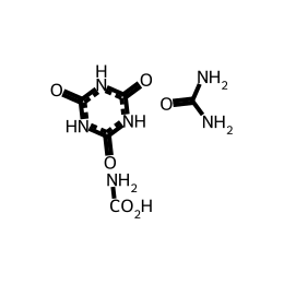 NC(=O)O.NC(N)=O.O=c1[nH]c(=O)[nH]c(=O)[nH]1